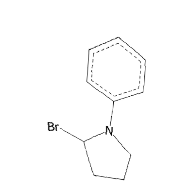 BrC1CCCN1c1ccccc1